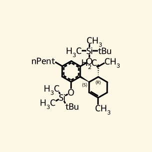 C=C(C)[C@@H]1CCC(C)=C[C@H]1c1c(O[Si](C)(C)C(C)(C)C)cc(CCCCC)cc1O[Si](C)(C)C(C)(C)C